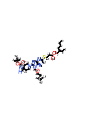 CCCCC(CC)COC(=O)CCSc1cnc2c(n1)nc(N1CCC(C)(NC(=O)OC(C)(C)C)CC1)n2COCC[Si](C)(C)C